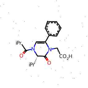 CC(C)C(=O)N1C=C(c2ccccc2)N(CC(=O)O)C(=O)[C@@H]1C(C)C